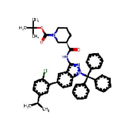 CC(C)c1ccc(Cl)c(-c2ccc3c(c2)c(NC(=O)[C@@H]2CCCN(C(=O)OC(C)(C)C)C2)nn3C(c2ccccc2)(c2ccccc2)c2ccccc2)c1